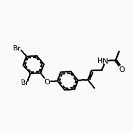 CC(=O)NCC=C(C)c1ccc(Oc2ccc(Br)cc2Br)cc1